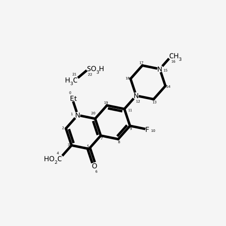 CCn1cc(C(=O)O)c(=O)c2cc(F)c(N3CCN(C)CC3)cc21.CS(=O)(=O)O